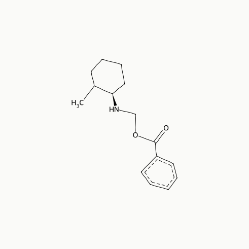 CC1CCCC[C@H]1NCOC(=O)c1ccccc1